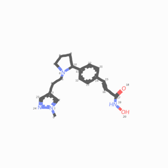 Cn1cc(CCN2CCCC2c2ccc(/C=C/C(=O)NO)cc2)cn1